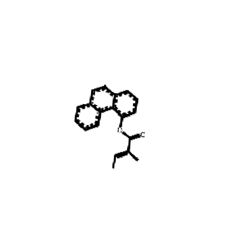 CC=C(C)C(=O)Oc1cccc2ccc3ccccc3c12